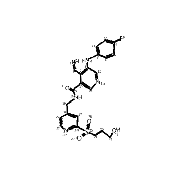 N=Cc1c(Nc2ccc(F)cc2)cncc1C(=O)NCc1ccnc(S(=O)(=O)CCCO)c1